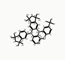 CC(C)(C)c1ccc2c(c1)B1c3cc4c(cc3N(c3ccc5c(c3)C(C)(C)CC5(C)C)c3ccnc(c31)O2)C(C)(C)CC4(C)C